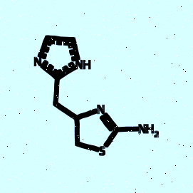 NC1=NC(Cc2ncc[nH]2)CS1